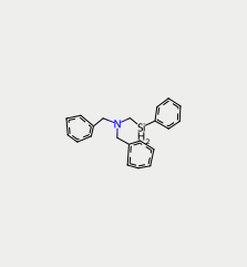 c1ccc(CN(C[SiH2]c2ccccc2)Cc2ccccc2)cc1